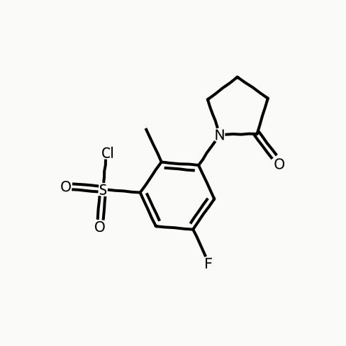 Cc1c(N2CCCC2=O)cc(F)cc1S(=O)(=O)Cl